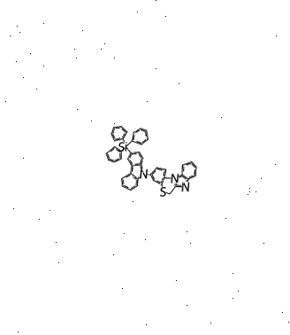 c1ccc([Si](c2ccccc2)(c2ccccc2)c2ccc3c(c2)c2ccccc2n3-c2ccc3c(c2)SCc2nc4ccccc4n2-3)cc1